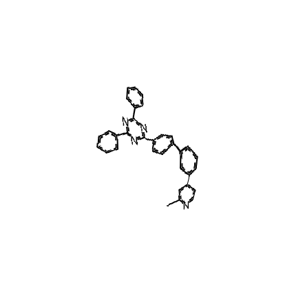 Cc1cc(-c2cccc(-c3ccc(-c4nc(-c5ccccc5)nc(-c5ccccc5)n4)cc3)c2)ccn1